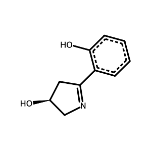 Oc1ccccc1C1=NC[C@@H](O)C1